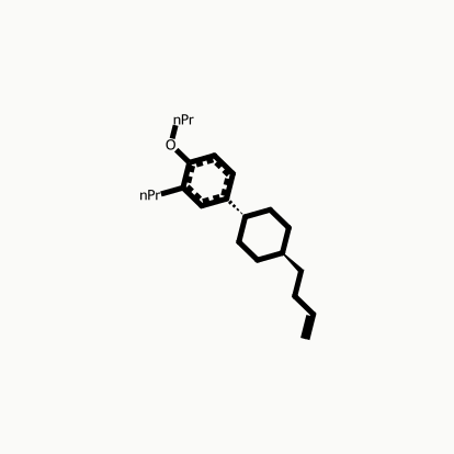 C=CCC[C@H]1CC[C@H](c2ccc(OCCC)c(CCC)c2)CC1